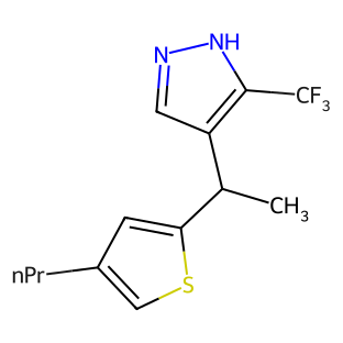 CCCc1csc(C(C)c2cn[nH]c2C(F)(F)F)c1